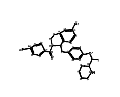 CC(Oc1ccc(CC2c3ccc(O)cc3CCN2C(=O)c2ccc(F)cc2)cc1)C1CCCCN1